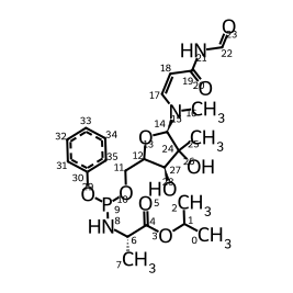 CC(C)OC(=O)[C@H](C)NP(OCC1O[C@@H](N(C)/C=C\C(=O)NC=O)C(C)(O)[C@H]1O)Oc1ccccc1